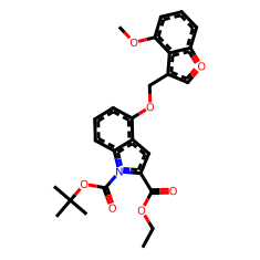 CCOC(=O)c1cc2c(OCc3coc4cccc(OC)c34)cccc2n1C(=O)OC(C)(C)C